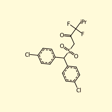 CC(C)C(F)(F)C(=O)CS(=O)(=O)C(c1ccc(Cl)cc1)c1ccc(Cl)cc1